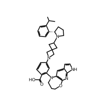 CC(C)c1ccccc1[C@@H]1CCCN1C1CC2(C1)CN(c1ccc(C(=O)O)c(N3CCCOc4nc5[nH]ccc5cc43)c1)C2